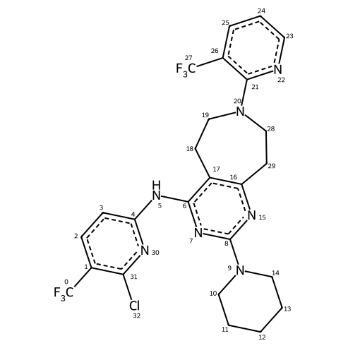 FC(F)(F)c1ccc(Nc2nc(N3CCCCC3)nc3c2CCN(c2ncccc2C(F)(F)F)CC3)nc1Cl